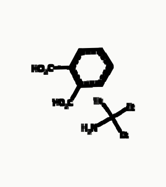 CCC(N)(CC)CC.O=C(O)c1ccccc1C(=O)O